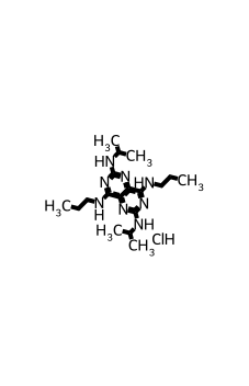 CCCNc1nc(NC(C)C)nc2c(NCCC)nc(NC(C)C)nc12.Cl